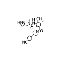 Cc1ccc(C(=O)N2CCC(c3ccc(C#N)cc3)CC2)cc1NC(=O)NCc1cc[nH]n1